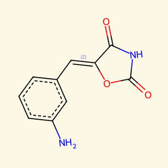 Nc1cccc(/C=C2\OC(=O)NC2=O)c1